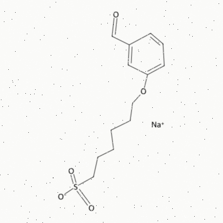 O=Cc1cccc(OCCCCCCS(=O)(=O)[O-])c1.[Na+]